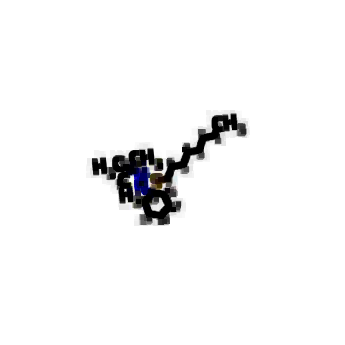 CCCCCCCCSC1(/N=N/C(C)(C)C)CCCCC1